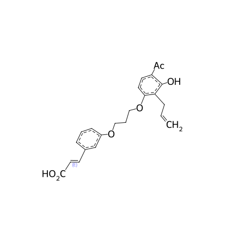 C=CCc1c(OCCCOc2cccc(/C=C/C(=O)O)c2)ccc(C(C)=O)c1O